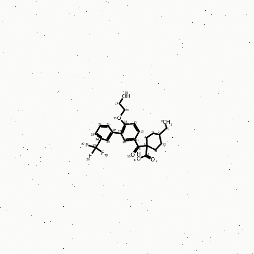 CCC1CCC(C(=O)O)(C(=O)c2ccc(OCCO)c(-c3cccc(C(F)(F)F)c3)c2)CC1